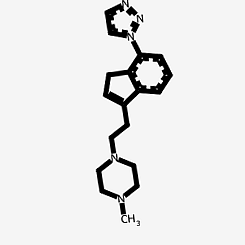 CN1CCN(CCC2=CCc3c2cccc3-n2ccnn2)CC1